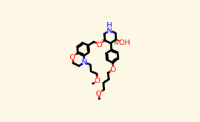 COCCCCOc1ccc(C2[C@H](O)CNC[C@@H]2OCc2ccc3c(c2)N(CCCOC)CCO3)cc1